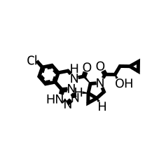 O=C(NCc1cc(Cl)ccc1-c1nnn[nH]1)[C@@H]1[C@H]2C[C@H]2CN1C(=O)[C@H](O)CC1CC1